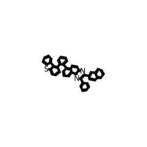 c1ccc(-c2nc3c(ccc4c(-c5ccccc5-c5cccc6sc7ccccc7c56)cccc43)nc2-c2ccc3ccccc3c2)cc1